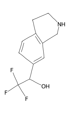 OC(c1ccc2c(c1)CNCC2)C(F)(F)F